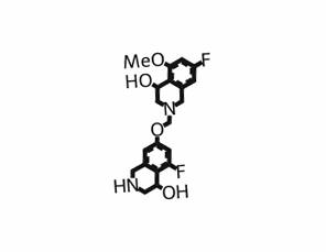 COc1cc(F)cc2c1C(O)CN(COc1cc(F)c3c(c1)CNCC3O)C2